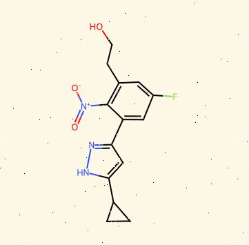 O=[N+]([O-])c1c(CCO)cc(F)cc1-c1cc(C2CC2)[nH]n1